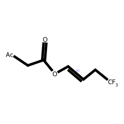 CC(=O)CC(=O)O/C=C/CC(F)(F)F